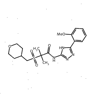 COc1ccccc1-c1nnc(NC(=O)C(C)(C)S(=O)(=O)CC2CCOCC2)[nH]1